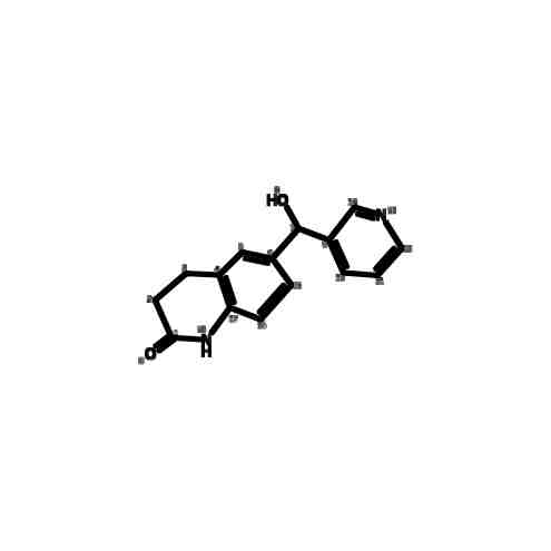 O=C1CCc2cc(C(O)c3cccnc3)ccc2N1